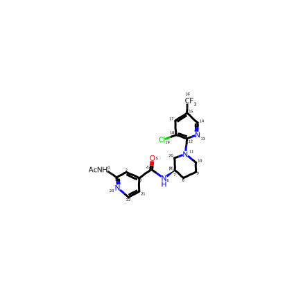 CC(=O)Nc1cc(C(=O)N[C@@H]2CCCN(c3ncc(C(F)(F)F)cc3Cl)C2)ccn1